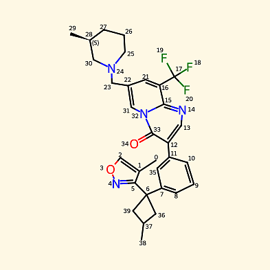 Cc1conc1C1(c2cccc(-c3cnc4c(C(F)(F)F)cc(CN5CCC[C@H](C)C5)cn4c3=O)c2)CC(C)C1